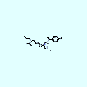 C=C(O/C=C(\N)OCCCN(CCC)C(C)C)c1ccc(F)cc1